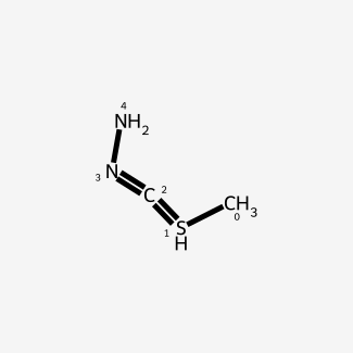 C[SH]=C=NN